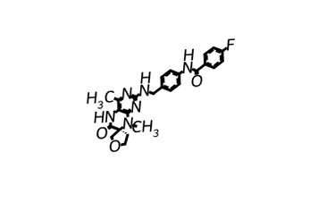 Cc1nc(NCc2ccc(NC(=O)c3ccc(F)cc3)cc2)nc2c1NC(=O)[C@@]1(CCOC1)N2C